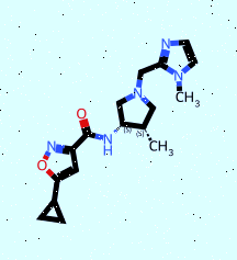 C[C@H]1CN(Cc2nccn2C)C[C@H]1NC(=O)c1cc(C2CC2)on1